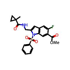 COC(=O)c1cc2c(cc1F)cc(CNC(=O)C1(C)CC1)n2S(=O)(=O)c1ccccc1